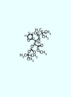 COC(=O)[C@@H](OC(=O)OC(C)(C)C)[C@H](N[S@@+]([O-])C(C)(C)C)c1ccco1